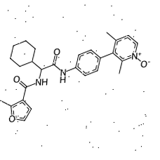 Cc1cc[n+]([O-])c(C)c1-c1ccc(NC(=O)C(NC(=O)c2ccoc2C)C2CCCCC2)cc1